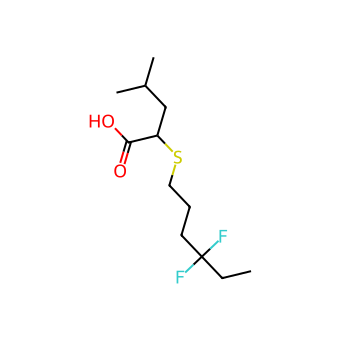 CCC(F)(F)CCCSC(CC(C)C)C(=O)O